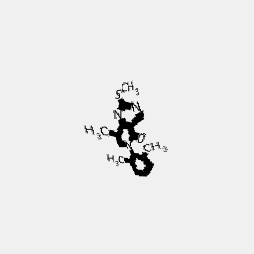 CSc1ncc2c(=O)n(-c3c(C)cccc3C)cc(C)c2n1